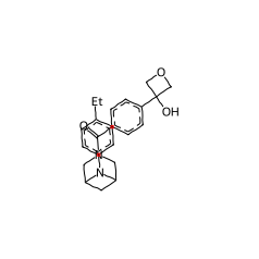 CCc1ccc(N2C3CC2CN(C(=O)c2ccc(C4(O)COC4)cc2)C3)cc1